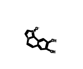 [O-][n+]1ccn2ccc3cc(O)c(O)cc3c21